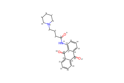 O=C(CCCN1CCCCC1)Nc1cccc2c1C(=O)c1ccccc1C2=O